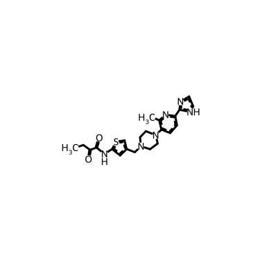 CCC(=O)C(=O)Nc1cc(CN2CCN(c3ccc(-c4ncc[nH]4)nc3C)CC2)cs1